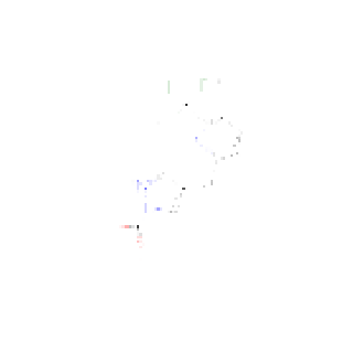 O=C(O)n1cc(Cc2cccc(C(F)(F)F)n2)cn1